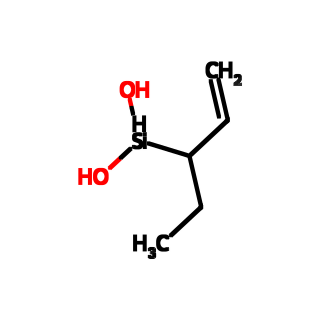 C=CC(CC)[SiH](O)O